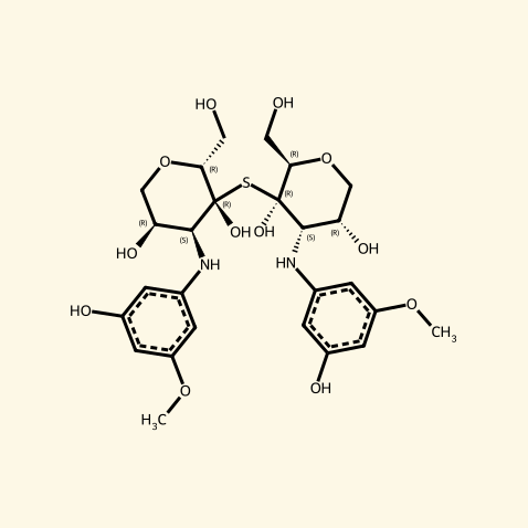 COc1cc(O)cc(N[C@H]2[C@@H](O)CO[C@H](CO)[C@]2(O)S[C@@]2(O)[C@@H](CO)OC[C@H](O)[C@@H]2Nc2cc(O)cc(OC)c2)c1